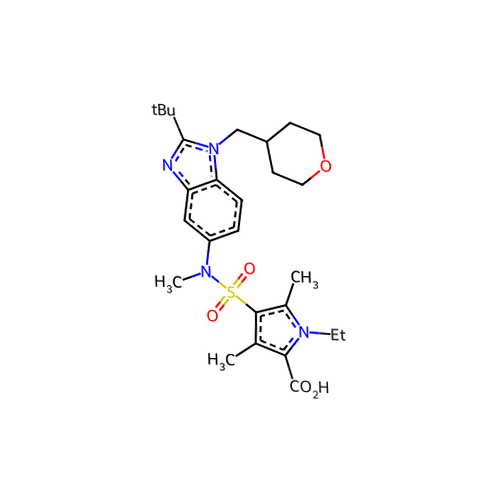 CCn1c(C)c(S(=O)(=O)N(C)c2ccc3c(c2)nc(C(C)(C)C)n3CC2CCOCC2)c(C)c1C(=O)O